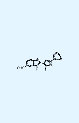 Cc1nn(-c2ccccc2)cc1-c1nc2ccc(C=O)cc2[nH]1